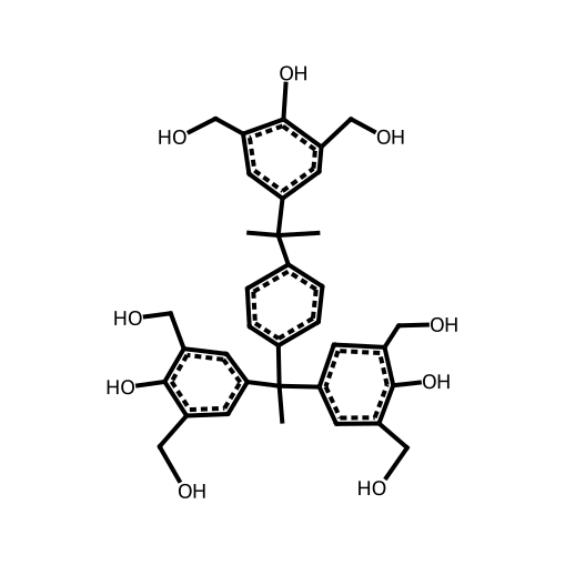 CC(C)(c1ccc(C(C)(c2cc(CO)c(O)c(CO)c2)c2cc(CO)c(O)c(CO)c2)cc1)c1cc(CO)c(O)c(CO)c1